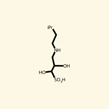 CC(C)CCNCC(O)C(O)S(=O)(=O)O